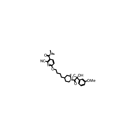 COc1cccc([C@@](O)(C(=O)N2CCC(CCCCOc3ccc(C(=O)N(C)C)c(C#N)n3)CC2)C(F)(F)F)c1